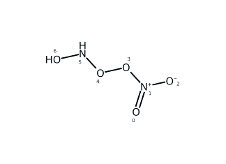 O=[N+]([O-])OONO